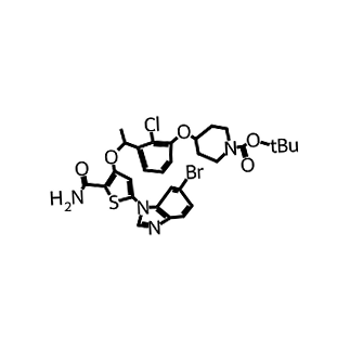 CC(Oc1cc(-n2cnc3ccc(Br)cc32)sc1C(N)=O)c1cccc(OC2CCN(C(=O)OC(C)(C)C)CC2)c1Cl